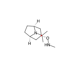 CNO[C@@H]1C[C@H]2CC[C@@H](C1)N2C(C)C